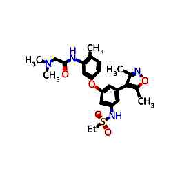 CCS(=O)(=O)Nc1cc(Oc2ccc(C)c(NC(=O)CN(C)C)c2)cc(-c2c(C)noc2C)c1